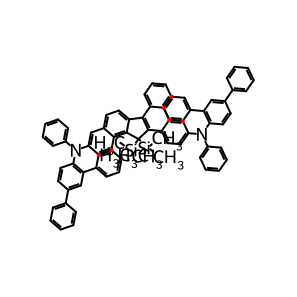 C[Si](C)(C)C1([Si](C)(C)C)c2c(ccc3cc(N(c4ccccc4)c4ccc(-c5ccccc5)cc4-c4ccccc4)ccc23)-c2c1c1ccc(N(c3ccccc3)c3ccc(-c4ccccc4)cc3-c3ccccc3)cc1c1ccccc21